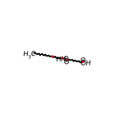 CCCCCCCCCCCCCCCCCCNOC(=O)CCCCCCCCC(=O)O